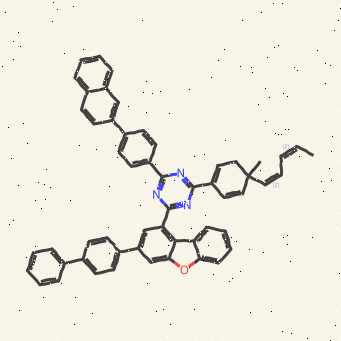 C/C=C\C=C/C1(C)C=CC(c2nc(-c3ccc(-c4ccc5ccccc5c4)cc3)nc(-c3cc(-c4ccc(-c5ccccc5)cc4)cc4oc5ccccc5c34)n2)=CC1